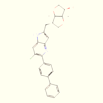 O[C@@H]1CO[C@@H]2[C@H](Cc3cc4nc(-c5ccc(-c6ccccc6)cc5)c(Cl)cc4[nH]3)CO[C@@H]21